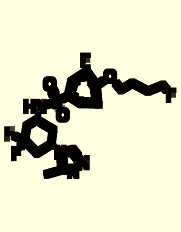 Cc1nncn1[C@H]1C[C@@H](NS(=O)(=O)c2ccc(OCCCCF)c(F)c2)CC(F)(F)C1